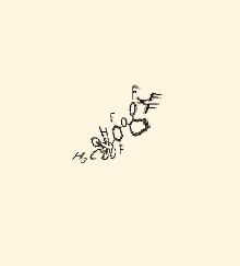 CS(=O)(=O)NC(=O)c1cc(F)c(Oc2ccccc2OC(F)(F)F)cc1F